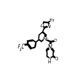 CCc1coc(C2CC(c3ccc(C(F)(F)F)cc3)CN(C(=O)N3CCNC(=O)C3)C2)n1